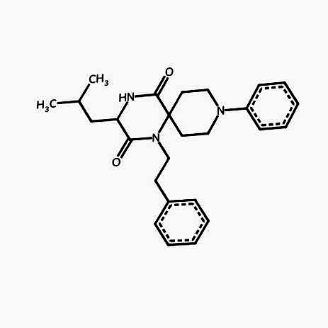 CC(C)CC1NC(=O)C2(CCN(c3ccccc3)CC2)N(CCc2ccccc2)C1=O